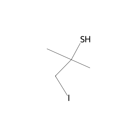 CC(C)(S)CI